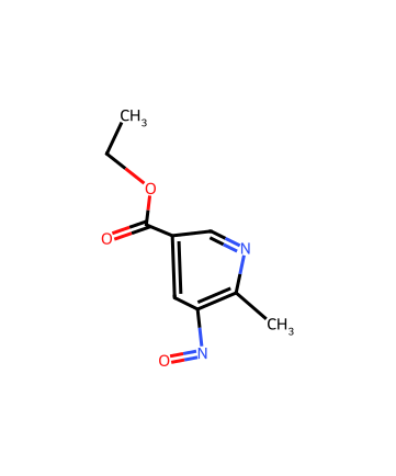 CCOC(=O)c1cnc(C)c(N=O)c1